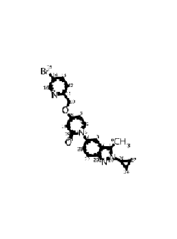 Cc1c2cc(-n3ccc(OCc4ccc(Br)cn4)cc3=O)ccc2nn1C1CC1